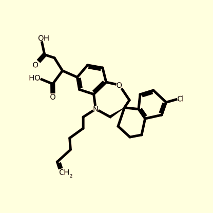 C=CCCCCN1C[C@@]2(CCCc3cc(Cl)ccc32)COc2ccc(C(CC(=O)O)C(=O)O)cc21